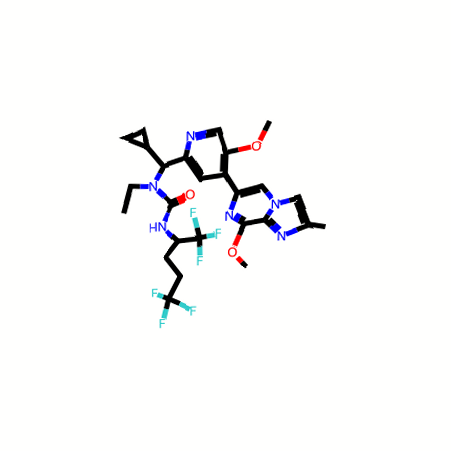 CCN(C(=O)NC(CCC(F)(F)F)C(F)(F)F)C(c1cc(-c2cn3cc(C)nc3c(OC)n2)c(OC)cn1)C1CC1